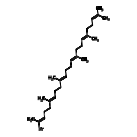 CC(C)=CCC/C(C)=C/CC/C(C)=C/CC/C=C(\C)CC/C=C(\C)CCC=C(C)C(C)C